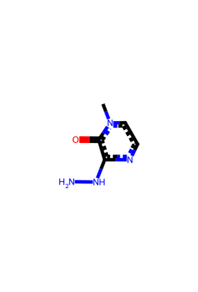 Cn1ccnc(NN)c1=O